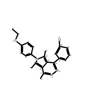 CCOc1ccc(-n2c(C)c3c(C)nnc(-c4cccc(Cl)c4)c3c2C)cc1